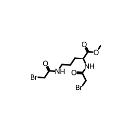 COC(=O)[C@H](CCCNC(=O)CBr)NC(=O)CBr